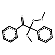 COOC(OC)(C(=O)c1ccccc1)c1ccccc1